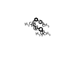 CSC1CCN(c2cccc(Cn3nc(-c4nc(C5=CCC=C(OC(C)(C)F)C=C5)no4)nc3C)c2)CC1